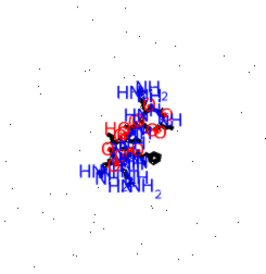 CC[C@@H](C)[C@@H](NC(=O)[C@@H](CCCNC(=N)N)NC(=O)[C@H](CCCNC(=N)N)NC(=O)[C@@H](NC(=O)[C@@H](Cc1ccccc1)NC)[C@@H](C)CC)C(=O)N[C@H](C(=O)N[C@@H](CO)C(=O)N[C@H]1C(=O)N[C@@H](CCCNC(=N)N)C(=O)N[C@@H](C)C(=O)N[C@@H]([C@@H](C)CC)C(=O)O[C@H]1C)[C@@H](C)CC